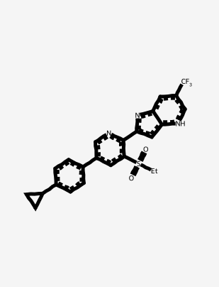 CCS(=O)(=O)c1cc(-c2ccc(C3CC3)cc2)cnc1-c1cc2[nH]cc(C(F)(F)F)cc-2n1